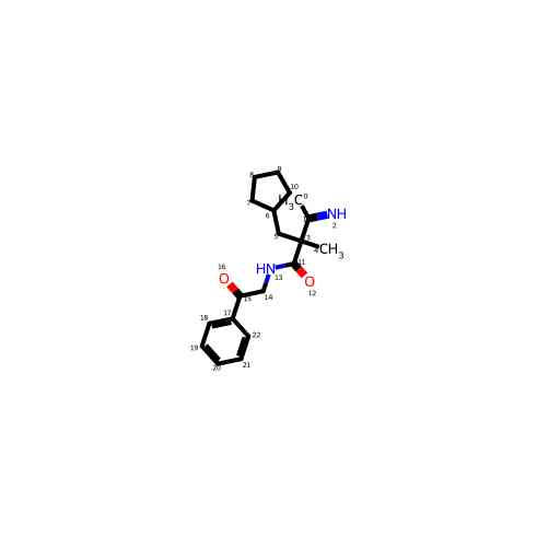 CC(=N)C(C)(CC1CCCC1)C(=O)NCC(=O)c1ccccc1